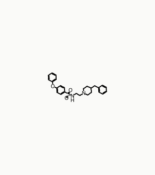 O=S(=O)(NCCN1CCC(Cc2ccccc2)CC1)c1ccc(Oc2ccccc2)cc1